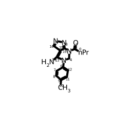 CCCC(=O)N1CN(c2ccc(C)cc2)C(N)=C2C=NN=C21